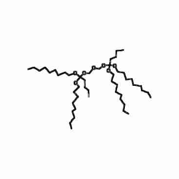 CCCCCCCCCOC(CCCC)(OCCCCCCCCC)OCOCOC(CCCC)(OCCCCCCCCC)OCCCCCCCCC